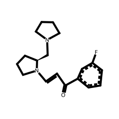 O=C(/C=C/N1CCC[C@H]1CN1CCCC1)c1cccc(F)c1